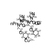 CCCN(CCOc1ccccc1)C(=O)n1ccnc1.CCCN(CCOc1ccccc1)C(=O)n1ccnc1.[Cl-].[Cl-].[Cu+2]